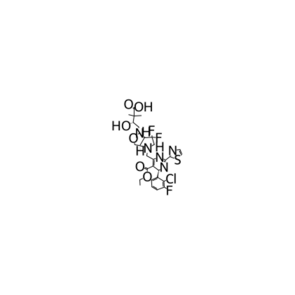 CCOC(=O)C1=C(CN2CC(F)(F)[C@H]3[C@@H]2CON3C[C@H](O)C(C)(C)C(=O)O)NC(c2nccs2)=N[C@H]1c1cccc(F)c1Cl